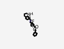 O=C(OCc1ccccc1)N1CC[C@](F)(/C=C/c2ccc3c(n2)NCCC3)C1